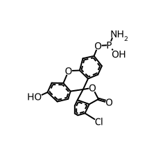 NP(O)Oc1ccc2c(c1)Oc1cc(O)ccc1C21OC(=O)c2c(Cl)cccc21